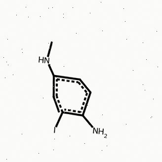 CNc1ccc(N)c(I)c1